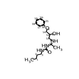 CCCCNC(=O)NC(C)NCC(O)COc1ccccc1